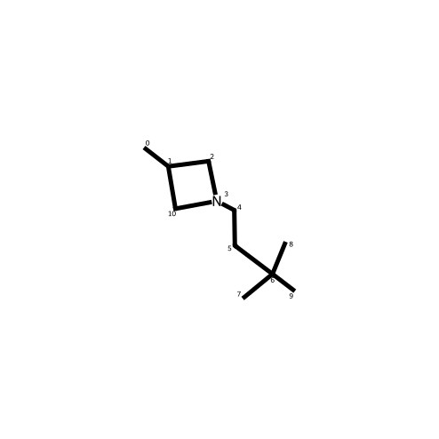 CC1CN(CCC(C)(C)C)C1